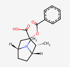 C[C@@H]1[C@@H]2CC[C@H](C[C@@]1(OC(=O)c1ccccc1)C(=O)O)N2C